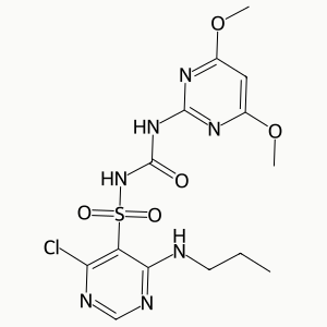 CCCNc1ncnc(Cl)c1S(=O)(=O)NC(=O)Nc1nc(OC)cc(OC)n1